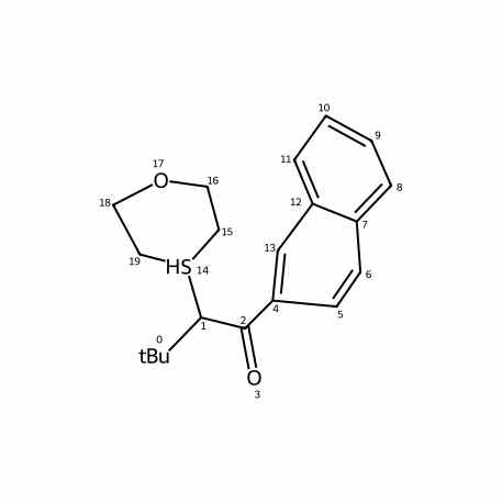 CC(C)(C)C(C(=O)c1ccc2ccccc2c1)[SH]1CCOCC1